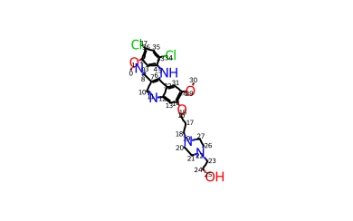 COc1cc(Nc2c(C#N)cnc3cc(OCCCN4CCN(CCO)CC4)c(OC)cc23)c(Cl)cc1Cl